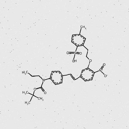 CCCN(C(=O)OC(C)(C)C)c1ccc(C=Cc2ccc([N+](=O)[O-])c(OCCc3cc(C)ccc3S(=O)(=O)O)c2)cc1